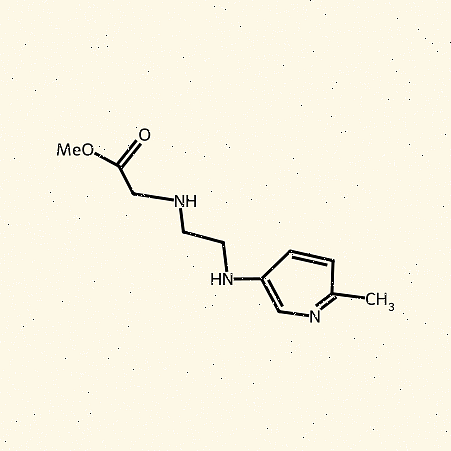 COC(=O)CNCCNc1ccc(C)nc1